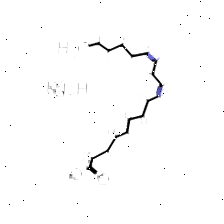 CCCCC/C=C\C/C=C\CCCCCCCC(=O)[O-].[K+].[NaH]